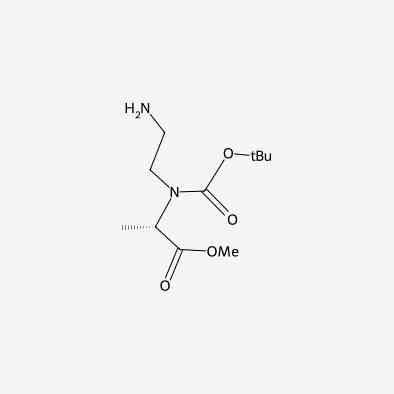 COC(=O)[C@H](C)N(CCN)C(=O)OC(C)(C)C